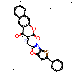 O=C1Oc2cc3ccccc3cc2C(=O)/C1=C/c1nc2sc(-c3ccccc3)cc2o1